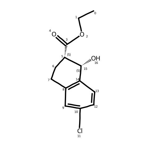 CCOC(=O)[C@H]1CCc2cc(Cl)ccc2[C@H]1O